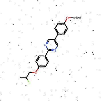 CCCCCCOc1ccc(-c2cnc(-c3ccc(OCC(C)F)cc3)nc2)cc1